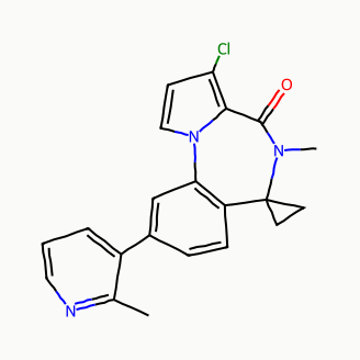 Cc1ncccc1-c1ccc2c(c1)-n1ccc(Cl)c1C(=O)N(C)C21CC1